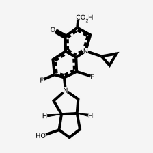 O=C(O)c1cn(C2CC2)c2c(F)c(N3C[C@@H]4CCC(O)[C@@H]4C3)c(F)cc2c1=O